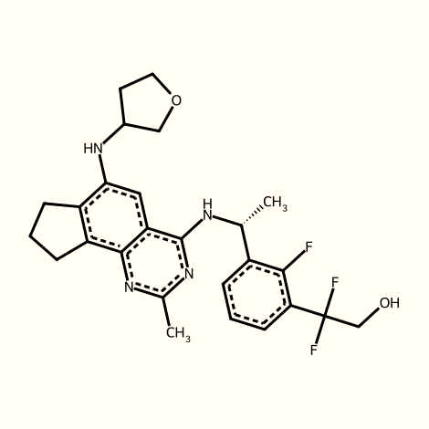 Cc1nc(N[C@H](C)c2cccc(C(F)(F)CO)c2F)c2cc(NC3CCOC3)c3c(c2n1)CCC3